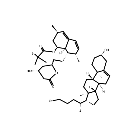 CC(C)CCC[C@@H](C)[C@H]1CC[C@H]2[C@@H]3CC=C4C[C@@H](O)CC[C@]4(C)[C@H]3CC[C@]12C.CCC(C)(C)C(=O)O[C@H]1C[C@@H](C)C=C2C=C[C@H](C)[C@H](CC[C@@H]3C[C@@H](O)CC(=O)O3)[C@H]21